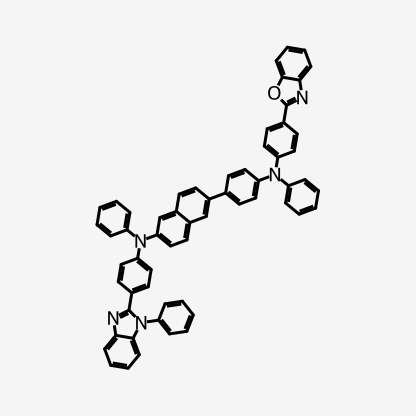 c1ccc(N(c2ccc(-c3ccc4cc(N(c5ccccc5)c5ccc(-c6nc7ccccc7n6-c6ccccc6)cc5)ccc4c3)cc2)c2ccc(-c3nc4ccccc4o3)cc2)cc1